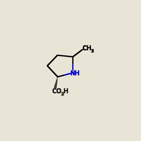 CC1CC[C@@H](C(=O)O)N1